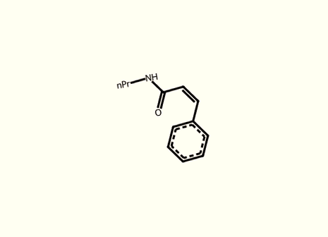 CCCNC(=O)/C=C\c1ccccc1